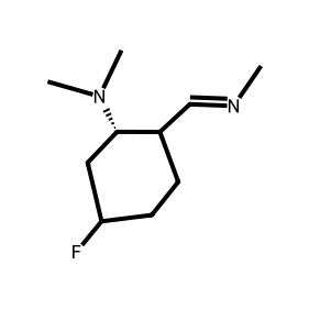 C/N=C/C1CCC(F)C[C@@H]1N(C)C